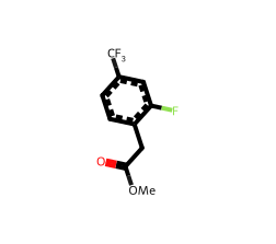 COC(=O)Cc1ccc(C(F)(F)F)cc1F